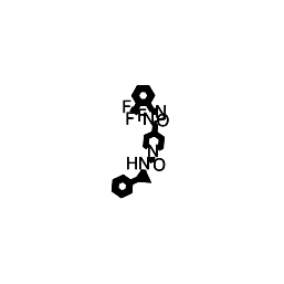 O=C(NC1CC1c1ccccc1)N1CCC(c2nc(-c3ccccc3C(F)(F)F)no2)CC1